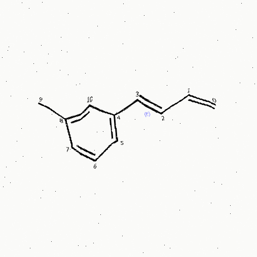 C=C/C=C/c1cccc(C)c1